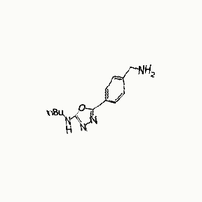 CCCCNc1nnc(-c2ccc(CN)cc2)o1